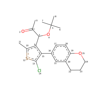 CC(=O)C(OC(C)(C)C)c1c(C)sc(Cl)c1-c1ccc2c(c1)CCCO2